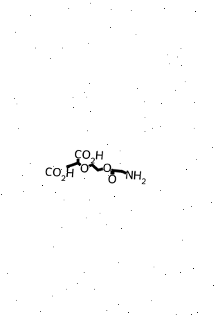 NCC(=O)OCCOC(CC(=O)O)C(=O)O